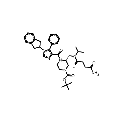 CC(C)N(C[C@@H]1CN(C(=O)OC(C)(C)C)CCN1C(=O)c1ncn(C2Cc3ccccc3C2)c1-c1ccccc1)C(=O)CCC(N)=O